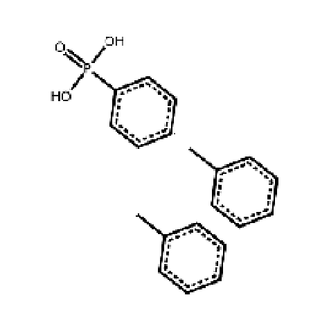 Cc1ccccc1.Cc1ccccc1.O=P(O)(O)c1cc[c]cc1